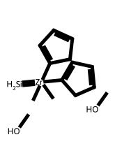 CO.CO.[CH3][Zr]([CH3])(=[SiH2])([C]1=CC=CC1)[C]1=CC=CC1